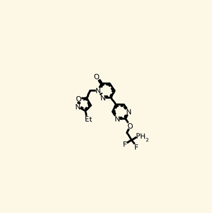 CCc1cc(Cn2nc(-c3cnc(OCC(F)(F)P)nc3)ccc2=O)on1